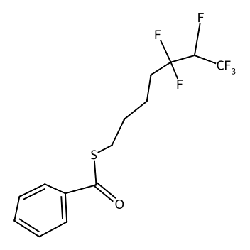 O=C(SCCCCC(F)(F)C(F)C(F)(F)F)c1ccccc1